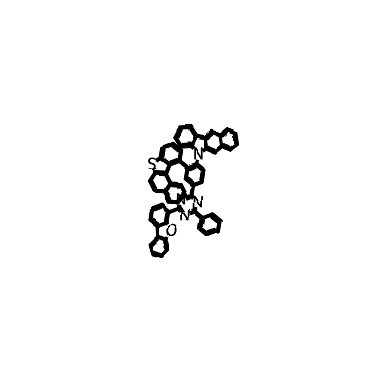 c1ccc(-c2nc(-c3ccc(-n4c5ccccc5c5cc6ccccc6cc54)c(-c4cccc5sc6ccc7ccccc7c6c45)c3)nc(-c3cccc4c3oc3ccccc34)n2)cc1